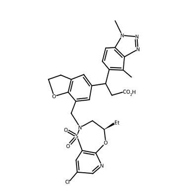 CC[C@@H]1CN(Cc2cc(C(CC(=O)O)c3ccc4c(nnn4C)c3C)cc3c2OCC3)S(=O)(=O)c2cc(Cl)cnc2O1